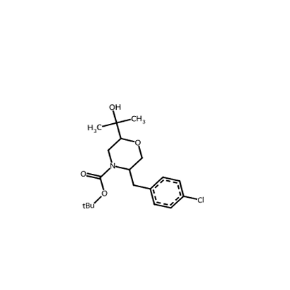 CC(C)(C)OC(=O)N1CC(C(C)(C)O)OCC1Cc1ccc(Cl)cc1